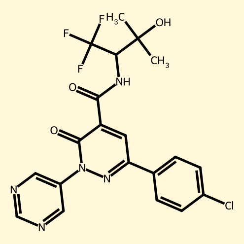 CC(C)(O)C(NC(=O)c1cc(-c2ccc(Cl)cc2)nn(-c2cncnc2)c1=O)C(F)(F)F